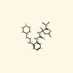 CC(C)CC(C)(NC(=O)Nc1ccccc1NCCN1CCOCC1)C(=O)N(C)C